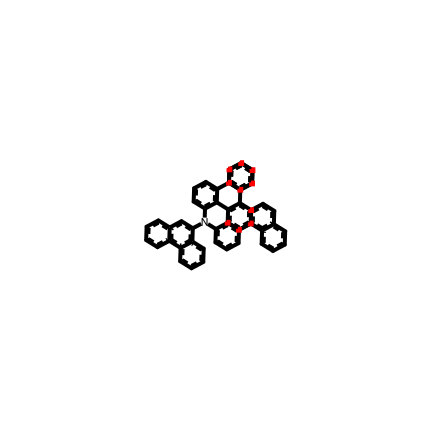 c1ccc(-c2ccccc2-c2c(-c3ccccc3)cccc2N(c2cccc(-c3cccc4ccccc34)c2)c2cc3ccccc3c3ccccc23)cc1